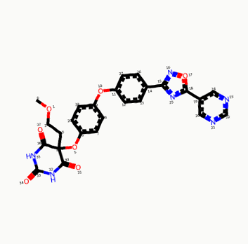 COCCC1(Oc2ccc(Oc3ccc(-c4noc(-c5cncnc5)n4)cc3)cc2)C(=O)NC(=O)NC1=O